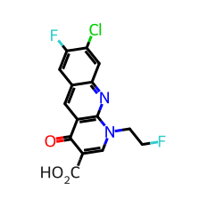 O=C(O)c1cn(CCF)c2nc3cc(Cl)c(F)cc3cc2c1=O